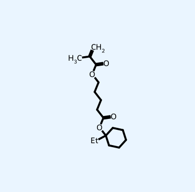 C=C(C)C(=O)OCCCCC(=O)OC1(CC)CCCCC1